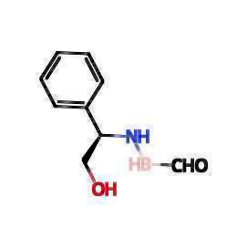 O=CBN[C@@H](CO)c1ccccc1